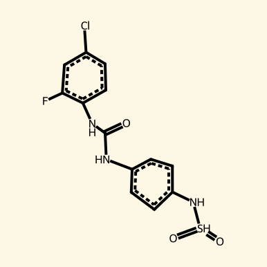 O=C(Nc1ccc(N[SH](=O)=O)cc1)Nc1ccc(Cl)cc1F